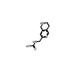 O=C(O)NCc1cc2c(cn1)CCNC2